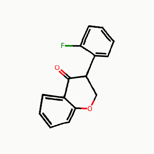 O=C1c2ccccc2OCC1c1ccccc1F